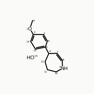 COc1ccc(C2C=CNCCC2)cc1.Cl